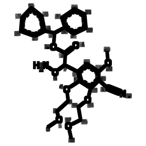 COCCOc1c(C(ON)C(=O)OC(c2ccccc2)c2ccccc2)cc(OC)c(C#N)c1OCCOC